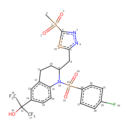 CS(=O)(=O)c1nnc(CC2CCc3cc(C(O)(C(F)(F)F)C(F)(F)F)ccc3N2S(=O)(=O)c2ccc(F)cc2)s1